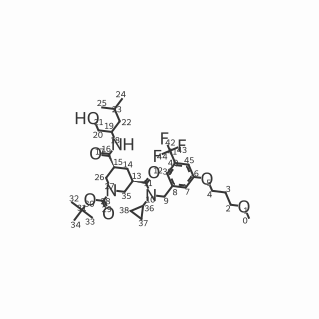 COCCCOc1cc(CN(C(=O)[C@@H]2C[C@H](C(=O)NC(CO)CC(C)C)CN(C(=O)OC(C)(C)C)C2)C2CC2)cc(C(F)(F)F)c1